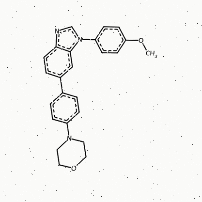 COc1ccc(-n2cnc3ccc(-c4ccc(N5CCOCC5)cc4)cc32)cc1